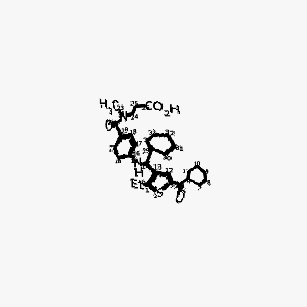 CCc1sc(C(=O)C2CCCCC2)cc1C(Nc1ccc(C(=O)N(C)CCC(=O)O)cc1)C1CCCCC1